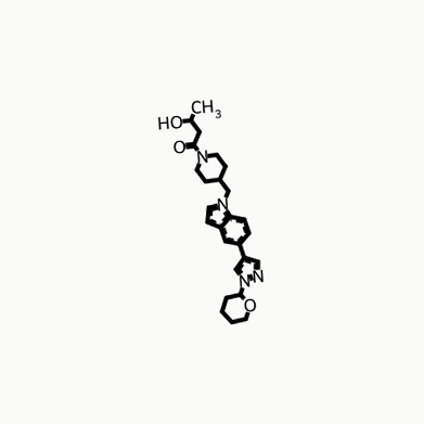 CC(O)CC(=O)N1CCC(Cn2ccc3cc(-c4cnn(C5CCCCO5)c4)ccc32)CC1